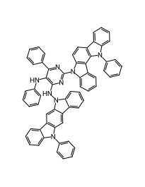 c1ccc(Nc2c(Nn3c4ccccc4c4cc5c(cc43)c3ccccc3n5-c3ccccc3)nc(-n3c4ccccc4c4c3ccc3c5ccccc5n(-c5ccccc5)c34)nc2-c2ccccc2)cc1